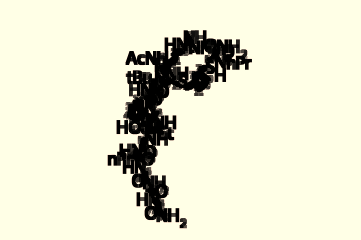 CCCC(=O)N[C@@H](CSCc1cccc(CSC[C@H](NC(=O)[C@H](CCCNC(=N)N)NC(C)=O)C(=O)N[C@H](C(=O)N[C@@H](Cc2ccc(O)cc2)C(=O)NCC(=O)N[C@@H](CC)C(=O)NCC(=O)N[C@@H](CCC)C(=O)NCC(=O)NCC(=O)NCC(N)=O)C(C)(C)C)c1)C(N)=O